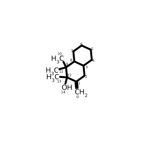 C=C1CC2CCCCC2C(C)(C)C1(C)O